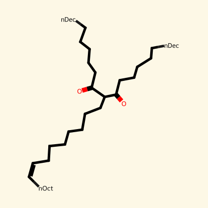 CCCCCCCC/C=C\CCCCCCCC(C(=O)CCCCCCCCCCCCCCC)C(=O)CCCCCCCCCCCCCCC